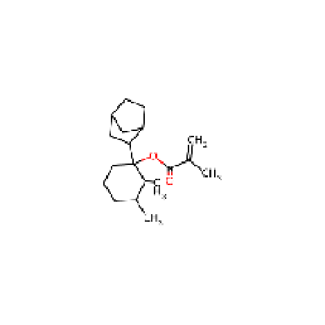 C=C(C)C(=O)OC1(C2CC3CCC2C3)CCCC(C)C1C